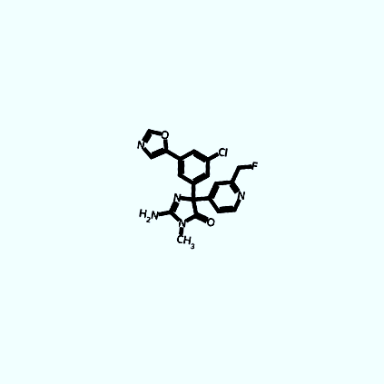 CN1C(=O)C(c2cc(Cl)cc(-c3cnco3)c2)(c2ccnc(CF)c2)N=C1N